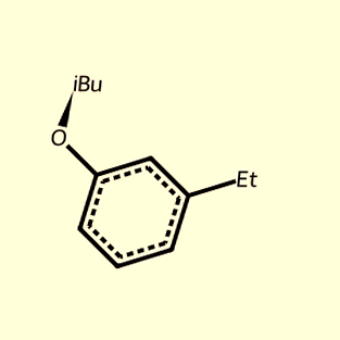 CCc1cccc(O[C@H](C)CC)c1